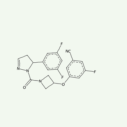 N#Cc1cc(F)cc(OC2CN(C(=O)N3N=CCC3c3cc(F)cc(F)c3)C2)c1